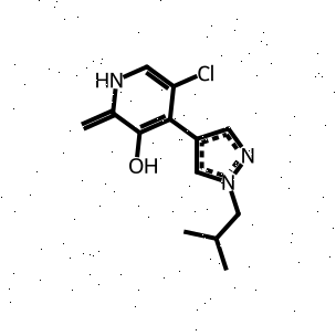 C=C1NC=C(Cl)C(c2cnn(CC(C)C)c2)=C1O